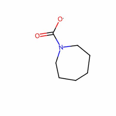 [O]C(=O)N1CCCCCC1